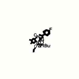 C=CCOC(=O)N1c2cc(C)c(C)cc2C(=O)N2C=C(c3ccc(F)cc3)C[C@H]2[C@@H]1O[Si](C)(C)C(C)(C)C